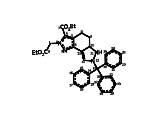 CCOC(=O)Cn1nc2c(c1C(=O)OCC)CCC1NN(C(c3ccccc3)(c3ccccc3)c3ccccc3)C=C21